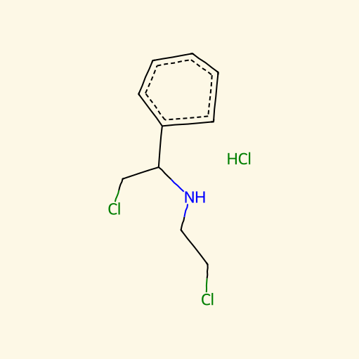 Cl.ClCCNC(CCl)c1ccccc1